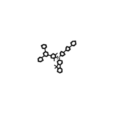 Cc1cc(-c2cc(-c3ccccc3)cc(-c3ccccc3)c2)cc(C)c1N(c1ccc(-c2ccc(-c3ccccc3)cc2)cc1)c1ccc2c(c1)C(C)(C)c1ccccc1-2